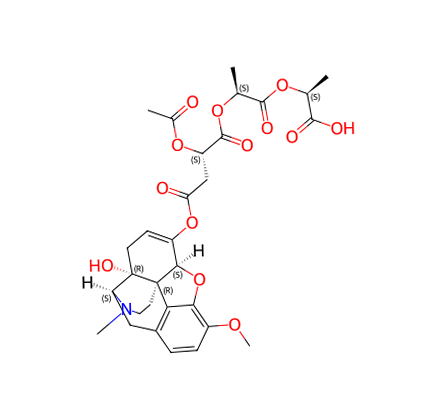 COc1ccc2c3c1O[C@@H]1C(OC(=O)C[C@H](OC(C)=O)C(=O)O[C@@H](C)C(=O)O[C@@H](C)C(=O)O)=CC[C@]4(O)[C@H](C2)N(C)CC[C@@]314